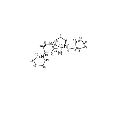 c1ccc(CN2CCC3C[C@@H]2c2cc(N4CCCCC4)ccc23)cc1